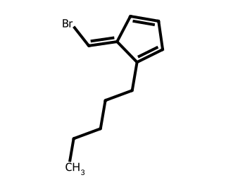 CCCCCC1=CC=CC1=CBr